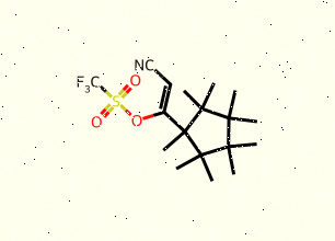 CC1(C)C(C)(C)C(C)(C)C(C)(/C(=C/C#N)OS(=O)(=O)C(F)(F)F)C1(C)C